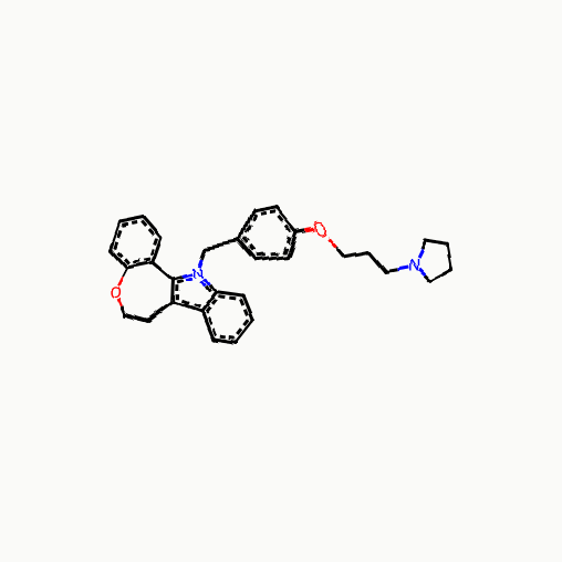 c1ccc2c(c1)OCCc1c-2n(Cc2ccc(OCCCN3CCCC3)cc2)c2ccccc12